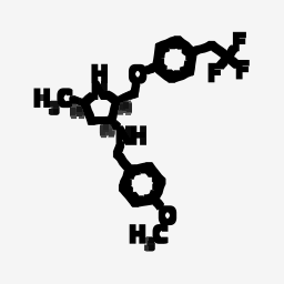 COc1ccc(CN[C@H]2C[C@@H](C)N[C@H]2COc2ccc(CC(F)(F)F)cc2)cc1